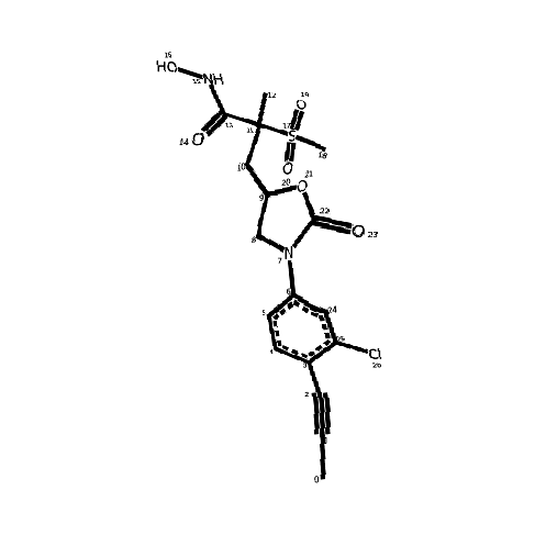 CC#Cc1ccc(N2CC(CC(C)(C(=O)NO)S(C)(=O)=O)OC2=O)cc1Cl